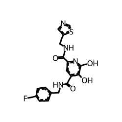 O=C(NCc1cncs1)c1cc(C(=O)NCc2ccc(F)cc2)c(O)c(O)n1